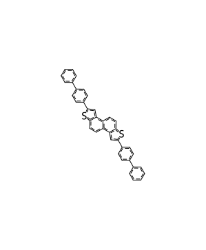 c1ccc(-c2ccc(-c3cc4c(ccc5c6cc(-c7ccc(-c8ccccc8)cc7)sc6ccc45)s3)cc2)cc1